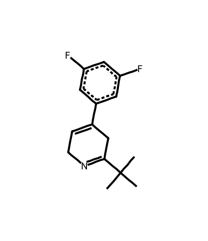 CC(C)(C)C1=NCC=C(c2cc(F)cc(F)c2)C1